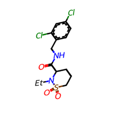 CCN1C(C(=O)NCc2ccc(Cl)cc2Cl)CCCS1(=O)=O